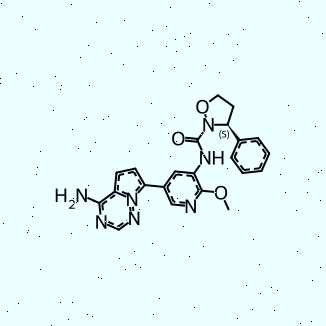 COc1ncc(-c2ccc3c(N)ncnn23)cc1NC(=O)N1OCC[C@H]1c1ccccc1